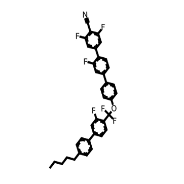 CCCCCc1ccc(-c2ccc(C(F)(F)Oc3ccc(-c4ccc(-c5cc(F)c(C#N)c(F)c5)c(F)c4)cc3)c(F)c2)cc1